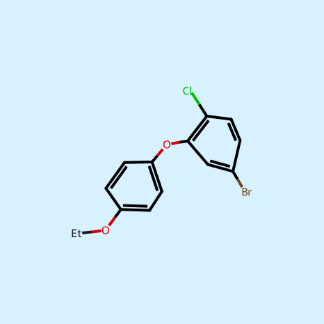 CCOc1ccc(Oc2cc(Br)ccc2Cl)cc1